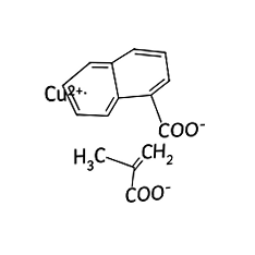 C=C(C)C(=O)[O-].O=C([O-])c1cccc2ccccc12.[Cu+2]